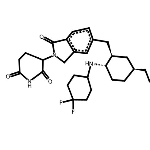 CC[C@H]1CC[C@H](NC2CCC(F)(F)CC2)[C@@H](Cc2ccc3c(c2)CN(C2CCC(=O)NC2=O)C3=O)C1